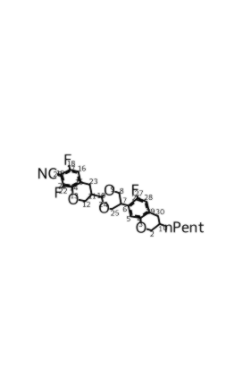 CCCCCC1COc2cc(C3COC(C4COc5c(cc(F)c(C#N)c5F)C4)OC3)c(F)cc2C1